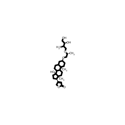 C[C@H](CO[C@H]1CC[C@@]2(C)C(CCC3C2CC[C@]2(C)[C@@H](C4=CC(=O)OC4)CC[C@]32O)C1)OCC(N)[C@H](O)CO